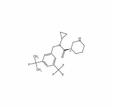 CC(C)(F)c1cc(CN(C(=O)[C@@H]2CCCNC2)C2CC2)cc(C(F)(F)F)c1